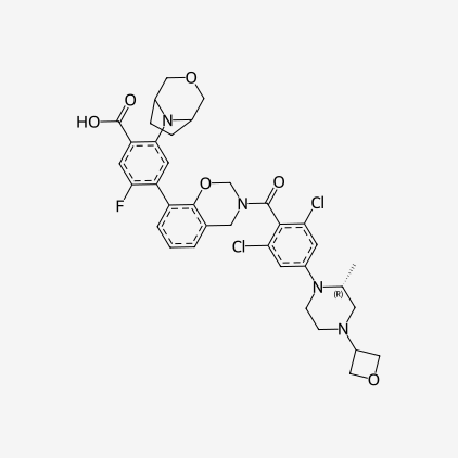 C[C@@H]1CN(C2COC2)CCN1c1cc(Cl)c(C(=O)N2COc3c(cccc3-c3cc(N4C5CCC4COC5)c(C(=O)O)cc3F)C2)c(Cl)c1